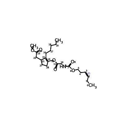 CC/C=C\CCOC(=O)NCC(=O)OC1=C(CCCCC)C(CC(=O)OC)CC1